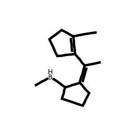 CBC1CCC/C1=C(\C)C1=C(C)CCC1